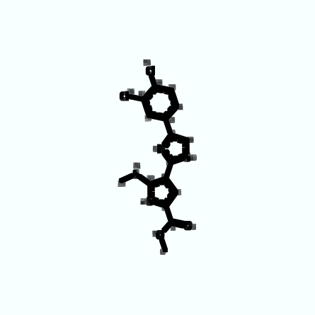 COC(=O)c1cc(-c2nc(-c3ccc(Cl)c(Cl)c3)cs2)c(SC)s1